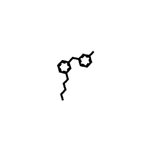 CCCCCc1cccc(Cc2cccc(C)c2)c1